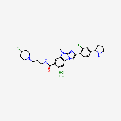 Cl.Cl.Cn1c2cc(C(=O)NCCCN3CCC(F)CC3)ccc2n2cc(-c3ccc([C@H]4CCCN4)cc3F)nc12